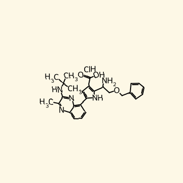 Cc1nc2cccc(-c3cc(C(=O)O)c(C(N)COCc4ccccc4)[nH]3)c2nc1NC(C)(C)C.Cl